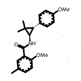 COc1ccc([C@@H]2[C@@H](NC(=O)c3cc(C)ccc3OC)C2(C)C)cc1